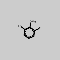 CCc1c[c]cc(CC)c1OC